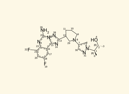 C[C@H]([C@@H](C)O)n1cc(N2CCCC(c3nc4c5cc(F)cc(F)c5nc(N)n4n3)C2)cn1